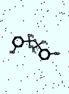 C[Si](C)(O[Si](C)(C)c1cccc(O)c1)c1cccc(O)c1